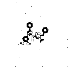 COc1ccc(-n2cc(-c3ccccc3)nc2NC(=O)CN(C(=O)Cc2ccccc2)C(C)C)cc1OC